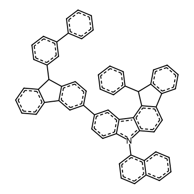 c1ccc(-c2cccc(C3c4ccccc4-c4cc(-c5ccc6c(c5)c5c7c(ccc5n6-c5cccc6ccccc56)-c5ccccc5C7c5ccccc5)ccc43)c2)cc1